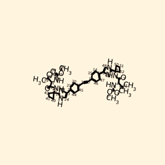 COC(=O)N[C@H](C(=O)NC1(c2nc(-c3ccc(C#Cc4ccc(-c5c[nH]c(C6(NC(=O)[C@@H](NC(=O)OC)C(C)C)CCC6)n5)cc4)cc3)c[nH]2)CCC1)C(C)C